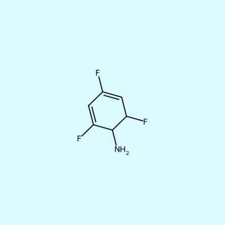 NC1C(F)=CC(F)=CC1F